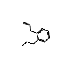 C=CCc1ccccc1[CH]CC